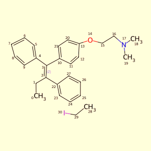 CC/C(=C(\c1ccccc1)c1ccc(OCCN(C)C)cc1)c1ccccc1.CCI